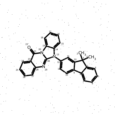 CC1(C)c2ccccc2-c2ccc(-n3c4ccccc4n4c(=O)c5ccccc5nc34)cc21